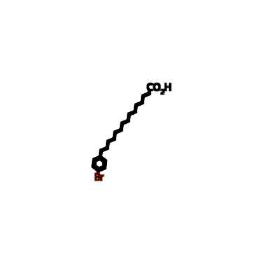 O=C(O)CCCCCCCCCCCCCCc1ccc(Br)cc1